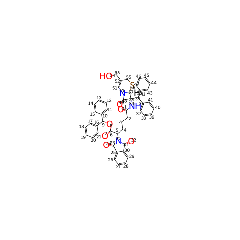 O=C(CCCC(C(=O)OC(c1ccccc1)c1ccccc1)N1C(=O)c2ccccc2C1=O)N[C@]1(C(c2ccccc2)c2ccccc2)C(=O)N2C=C(CO)CS[C@H]21